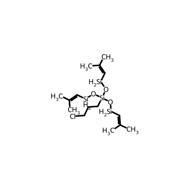 CC(C)=C[SiH2]O[Si](CCCCl)(O[SiH2]C=C(C)C)O[SiH2]C=C(C)C